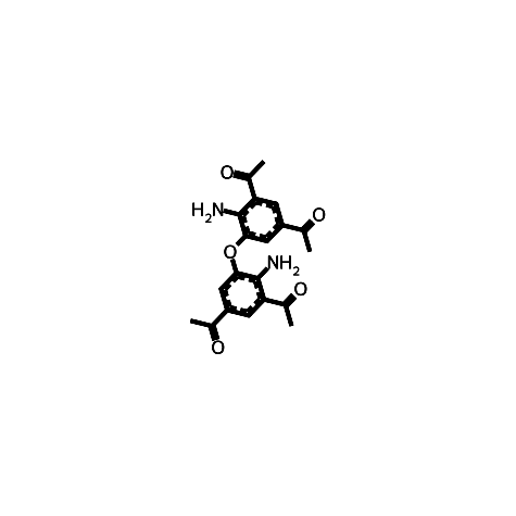 CC(=O)c1cc(Oc2cc(C(C)=O)cc(C(C)=O)c2N)c(N)c(C(C)=O)c1